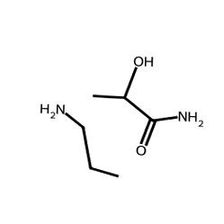 CC(O)C(N)=O.CCCN